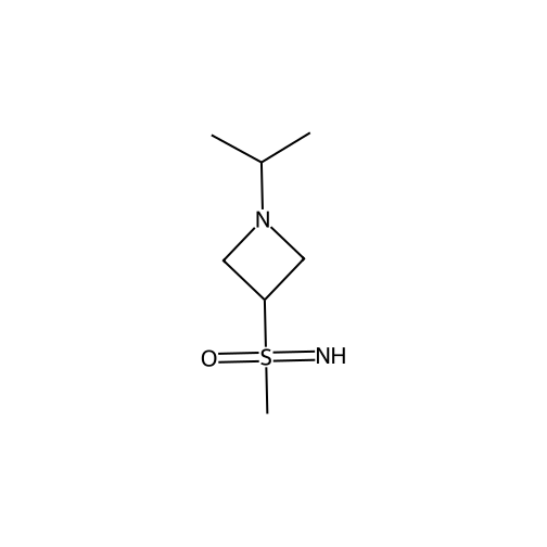 CC(C)N1CC(S(C)(=N)=O)C1